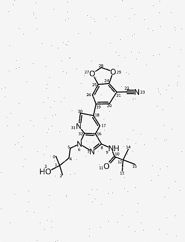 CC(C)(O)CCn1nc(NC(=O)C(C)(C)C)c2cc(-c3cc(C#N)c4c(c3)OCO4)cnc21